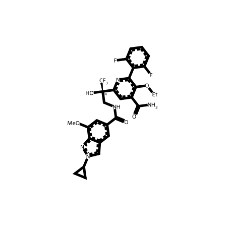 CCOc1c(C(N)=O)cc([C@@](O)(CNC(=O)c2cc(OC)c3nn(C4CC4)cc3c2)C(F)(F)F)nc1-c1c(F)cccc1F